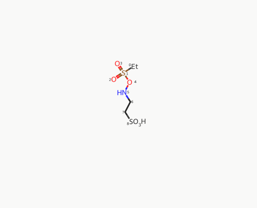 CCS(=O)(=O)ONCCS(=O)(=O)O